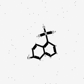 CCc1ccc2c(S([O])(=O)=O)cccc2c1